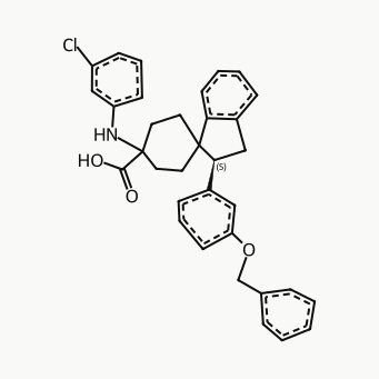 O=C(O)C1(Nc2cccc(Cl)c2)CCC2(CC1)c1ccccc1C[C@H]2c1cccc(OCc2ccccc2)c1